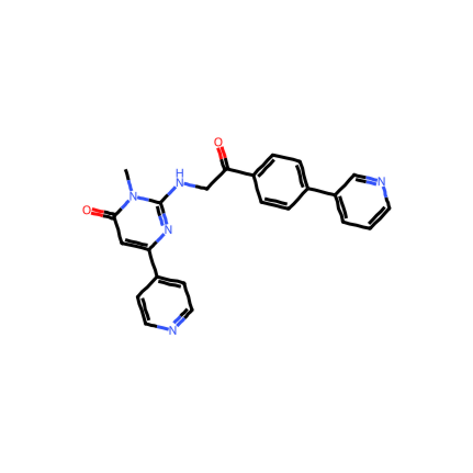 Cn1c(NCC(=O)c2ccc(-c3cccnc3)cc2)nc(-c2ccncc2)cc1=O